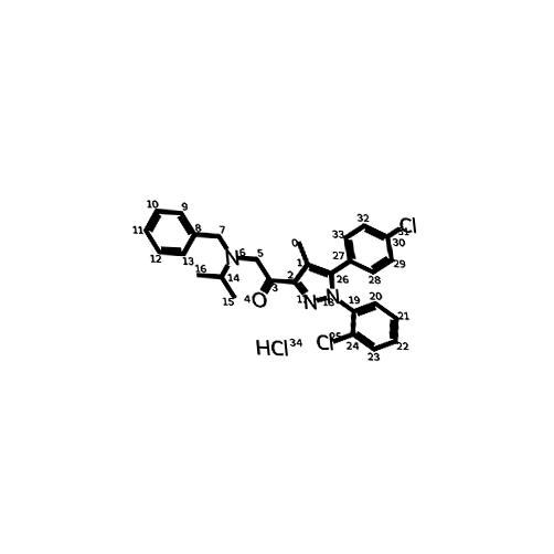 Cc1c(C(=O)CN(Cc2ccccc2)C(C)C)nn(-c2ccccc2Cl)c1-c1ccc(Cl)cc1.Cl